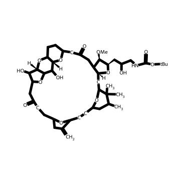 C=C1CC2CCC(=O)CC3OC4C(O)[C@H]5OC(CCC5O[C@H]4C3O)CC(=O)CC3[C@H](CC4OC(CCC1O2)CC(C)C4(C)C)O[C@H](CC(O)CNC(=O)OC(C)(C)C)[C@@H]3OC